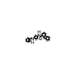 O=C(Nc1ccc(NCc2ccccn2)cc1)c1cccc2c1Cc1ccccc1-2